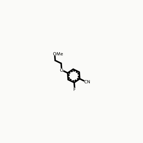 COCCOc1ccc(C#N)c(F)c1